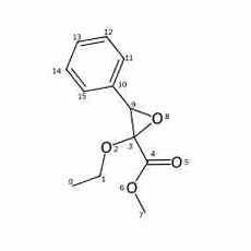 CCOC1(C(=O)OC)OC1c1ccccc1